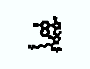 CCOC(=O)C(CCCCN)NC(=O)C(F)(F)Sc1ncc(Br)n1-c1ccc(C#N)c2ccccc12